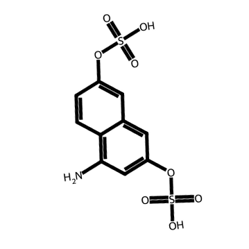 Nc1cc(OS(=O)(=O)O)cc2cc(OS(=O)(=O)O)ccc12